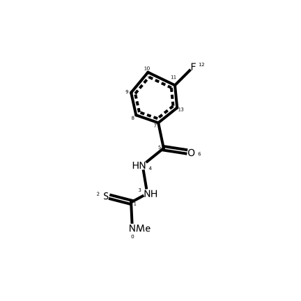 CNC(=S)NNC(=O)c1cccc(F)c1